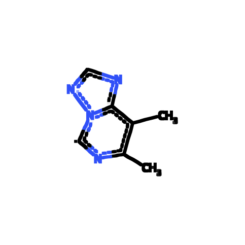 Cc1n[c]n2ncnc2c1C